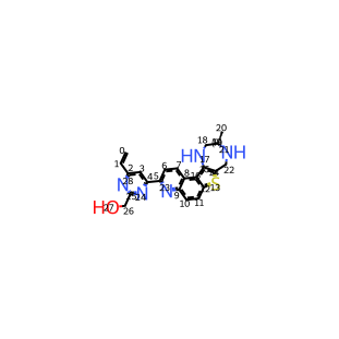 C=Cc1cc(-c2ccc3c(ccc4sc5c(c43)NC[C@@H](C)NC5)n2)nc(CO)n1